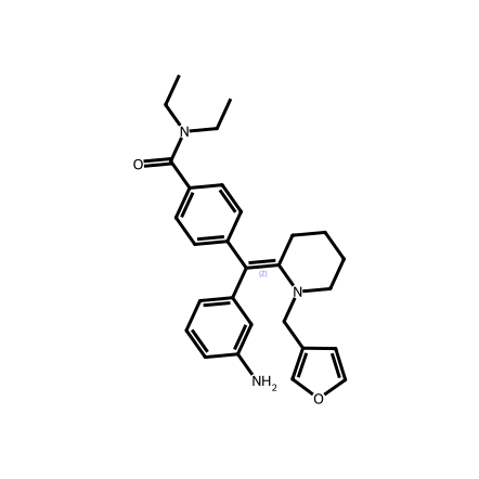 CCN(CC)C(=O)c1ccc(/C(=C2\CCCCN2Cc2ccoc2)c2cccc(N)c2)cc1